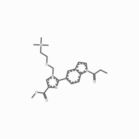 CCC(=O)n1ccc2cc(-c3nc(C(=O)OC)cn3COCC[Si](C)(C)C)ccc21